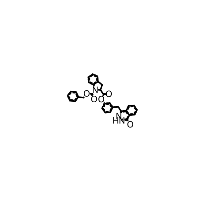 O=C(Oc1cccc(Cc2n[nH]c(=O)c3ccccc23)c1)C1Cc2ccccc2N1C(=O)OCc1ccccc1